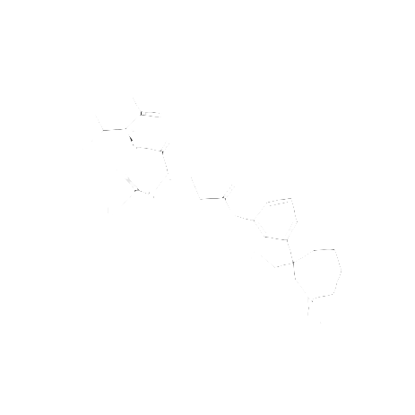 CCC1(c2cccc(OC(=O)CC[C@H](NC(C)=O)C(=O)N[C@H](C(=O)O)C(C)C)c2)CCCCN(C)C1